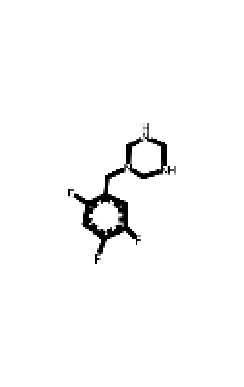 Fc1cc(F)c(CN2CNCNC2)cc1F